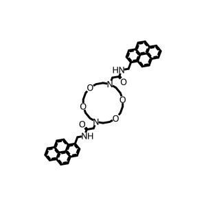 O=C(CN1CCOCCOCCN(CC(=O)NCc2ccc3ccc4cccc5ccc2c3c45)CCOCCOCC1)NCc1ccc2ccc3cccc4ccc1c2c34